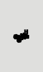 Cc1c(C)c(-c2cc3ccccc3c3ccccc23)c(C)c(C)c1BC(C)(C)C